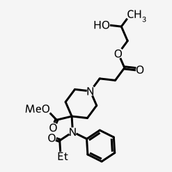 CCC(=O)N(c1ccccc1)C1(C(=O)OC)CCN(CCC(=O)OCC(C)O)CC1